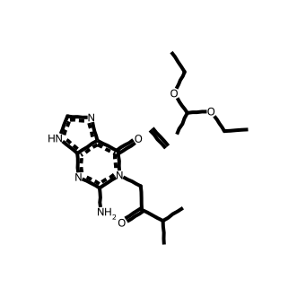 C=C.CC(C)C(=O)Cn1c(N)nc2[nH]cnc2c1=O.CCOC(C)OCC